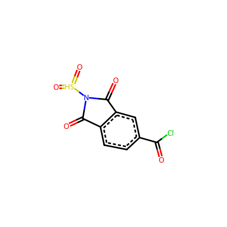 O=C(Cl)c1ccc2c(c1)C(=O)N([SH](=O)=O)C2=O